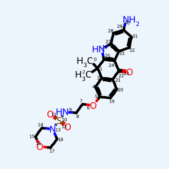 CC1(C)c2cc(OCCNS(=O)(=O)N3CCOCC3)ccc2C(=O)c2c1[nH]c1cc(N)ccc21